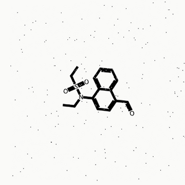 CCN(c1ccc(C=O)c2ccccc12)S(=O)(=O)CC